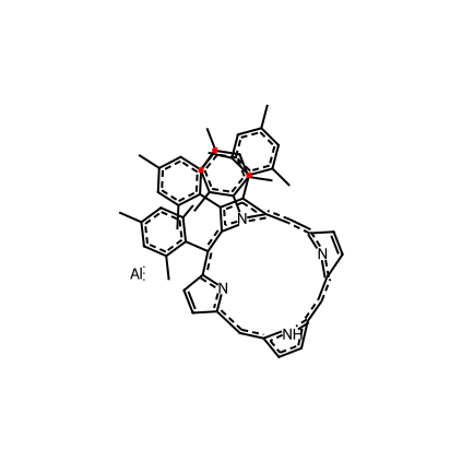 Cc1cc(C)c(-c2c(-c3c(C)cc(C)cc3C)c3c(-c4c(C)cc(C)cc4C)c4nc(cc5ccc(cc6nc(cc2n3-c2c(C)cc(C)cc2C)C=C6)[nH]5)C=C4)c(C)c1.[Al]